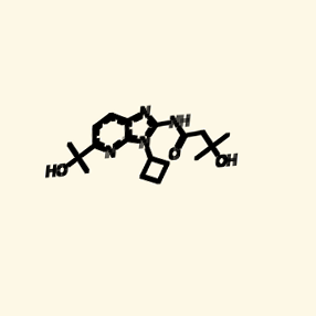 CC(C)(O)CC(=O)Nc1nc2ccc(C(C)(C)O)nc2n1C1CCC1